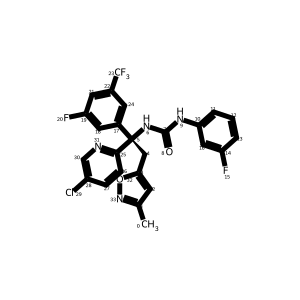 Cc1cc(C[C@](NC(=O)Nc2cccc(F)c2)(c2cc(F)cc(C(F)(F)F)c2)c2ccc(Cl)cn2)on1